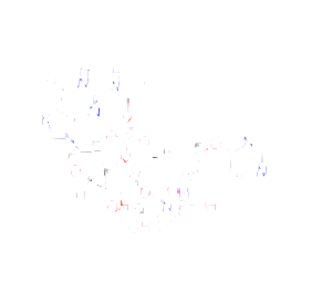 CCC[Si](O)(CCC)O[Si](CCC)(CCC)O[C@]12C(O)[C@H]1O[C@@H](n1cnc3c(=O)[nH]c(NC(=O)C(C)C)nc31)[C@@H]2OP(=O)(OCCC#N)OC[C@H]1C[C@@H](Oc2ccncn2)C[C@@H]1O[PH](=O)O